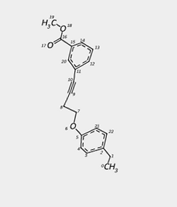 CCc1ccc(OCCC#Cc2cccc(C(=O)OC)c2)cc1